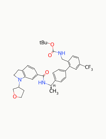 C[C@@H](NC(=O)c1ccc2c(c1)N(C1CCOC1)CC2)c1ccc(-c2cc(C(F)(F)F)ccc2CNC(=O)OC(C)(C)C)cc1